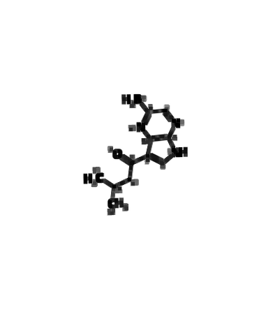 Bc1cnc2[nH]cc(C(=O)CC(C)C)c2n1